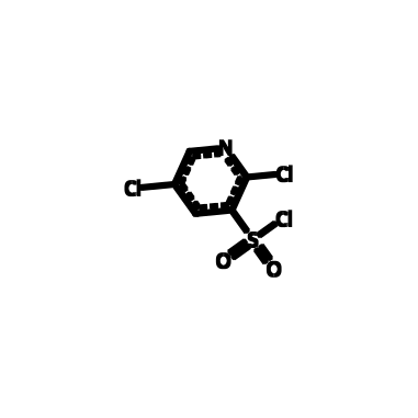 O=S(=O)(Cl)c1cc(Cl)cnc1Cl